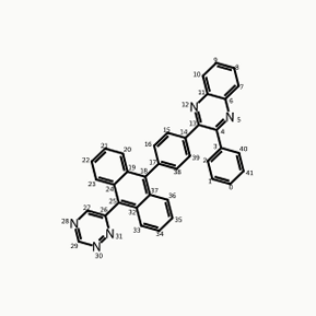 c1ccc(-c2nc3ccccc3nc2-c2ccc(-c3c4ccccc4c(-c4cncnn4)c4ccccc34)cc2)cc1